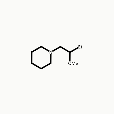 CCC(CN1CCCCC1)OC